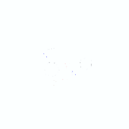 C=C(C)N1CCc2cc(Br)c(S(=O)(=O)N3CCc4ccccc43)cc21